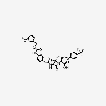 COc1cccc(COC(=O)Nc2ccc(CC(=O)NC3C(=O)N4C(C(=O)O)=C(CSc5ccc(C(F)(F)F)cc5)CS[C@@H]34)cc2)c1